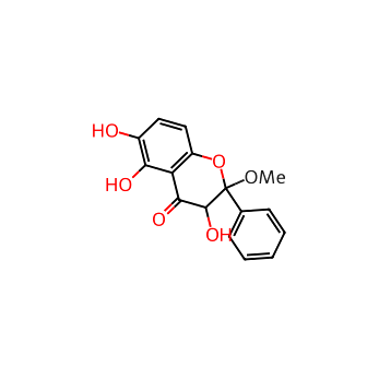 COC1(c2ccccc2)Oc2ccc(O)c(O)c2C(=O)C1O